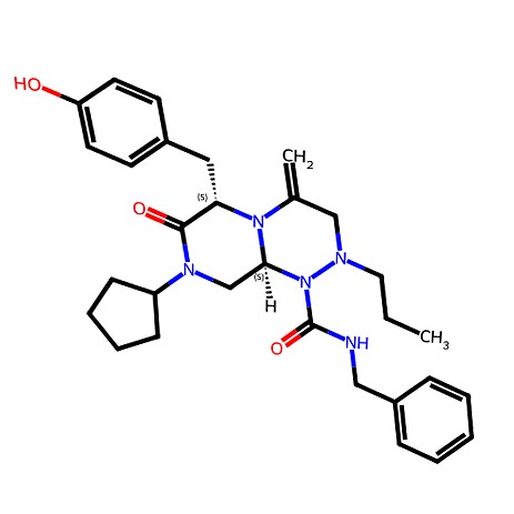 C=C1CN(CCC)N(C(=O)NCc2ccccc2)[C@H]2CN(C3CCCC3)C(=O)[C@H](Cc3ccc(O)cc3)N12